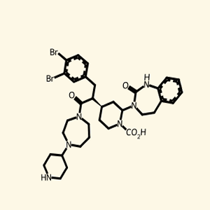 O=C(C(Cc1ccc(Br)c(Br)c1)[C@@H]1CCN(C(=O)O)C(N2CCc3ccccc3NC2=O)C1)N1CCCN(C2CCNCC2)CC1